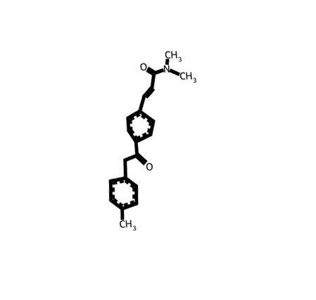 Cc1ccc(CC(=O)c2ccc(C=CC(=O)N(C)C)cc2)cc1